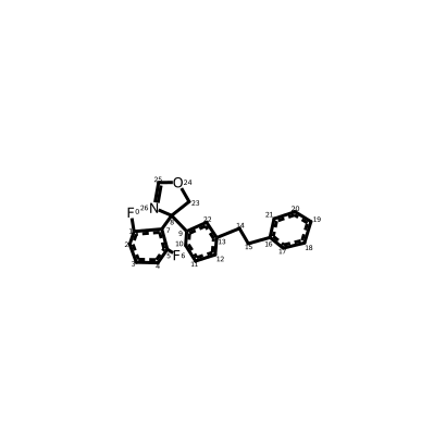 Fc1cccc(F)c1C1(c2cccc(CCc3ccccc3)c2)COC=N1